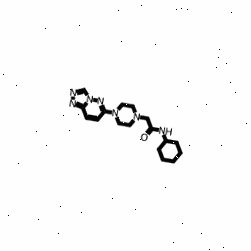 O=C(CN1CCN(c2ccc3nncn3n2)CC1)NC1CCCCC1